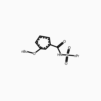 CCCCOc1cccc(C(=O)NS(=O)(=O)CCC)c1